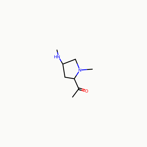 CNC1CC(C(C)=O)N(C)C1